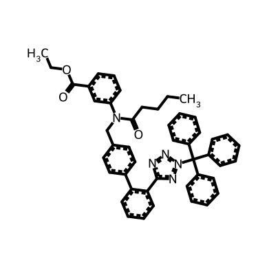 CCCCC(=O)N(Cc1ccc(-c2ccccc2-c2nnn(C(c3ccccc3)(c3ccccc3)c3ccccc3)n2)cc1)c1cccc(C(=O)OCC)c1